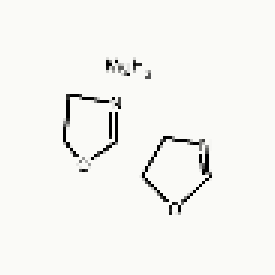 C1=NCCO1.C1=NCCO1.[MgH2]